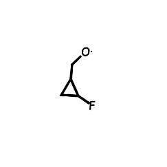 [O]CC1CC1F